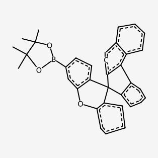 CC1(C)OB(c2ccc3c(c2)Oc2ccccc2C32c3ccccc3-c3c2ccc2ccccc32)OC1(C)C